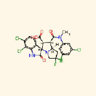 CN(C(=O)[C@H]1[C@H]2CC(F)(F)CN2[C@]2(C(=O)Nc3c2ccc(Cl)c3Cl)[C@H]1C(=O)O)c1cc(Cl)cc(Cl)c1